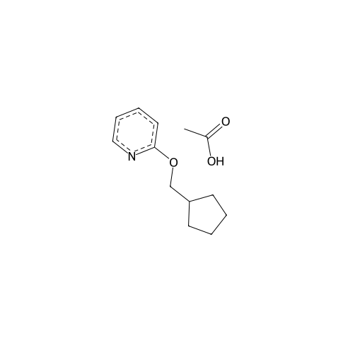 CC(=O)O.c1ccc(OCC2CCCC2)nc1